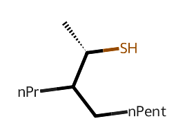 CCCCCCC(CCC)[C@H](C)S